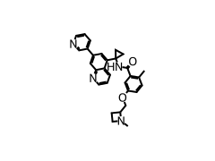 Cc1ccc(OCC2CCN2C)cc1C(=O)NC1(c2cc(-c3cccnc3)cc3ncccc23)CC1